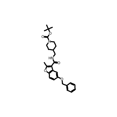 Cc1oc2ccc(OCc3ccccc3)cc2c1C(=O)NCC1CCN(C(=O)OC(C)(C)C)CC1